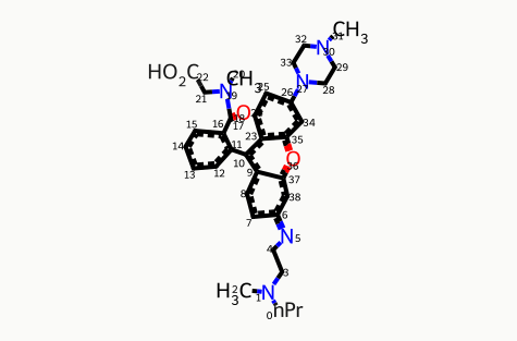 CCCN(C)CC/N=c1\ccc2c(-c3ccccc3C(=O)N(C)CC(=O)O)c3ccc(N4CCN(C)CC4)cc3oc-2c1